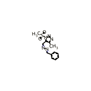 Cc1nnn(S(C)(=O)=O)c1/C=N\N=C\c1ccccc1